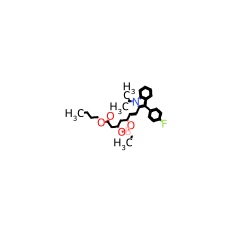 CCCCOC(=O)CC1CC(/C=C/c2c(-c3ccc(F)cc3)c3ccccc3n2C(C)C)OB(CC)O1